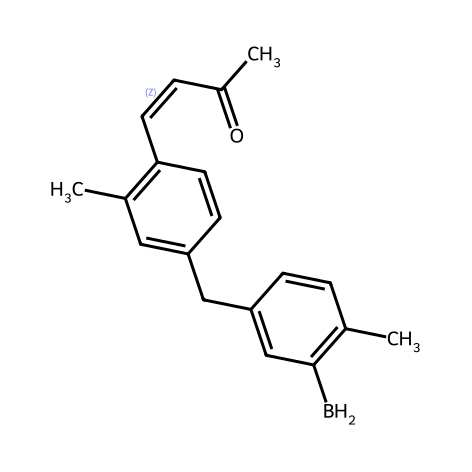 Bc1cc(Cc2ccc(/C=C\C(C)=O)c(C)c2)ccc1C